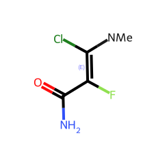 CN/C(Cl)=C(\F)C(N)=O